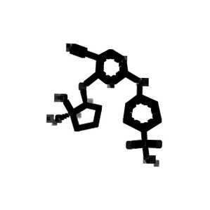 C[C@@]1(O)CCC[C@@H]1Oc1nc(Nc2ccc(S(N)(=O)=O)cc2)ncc1C#N